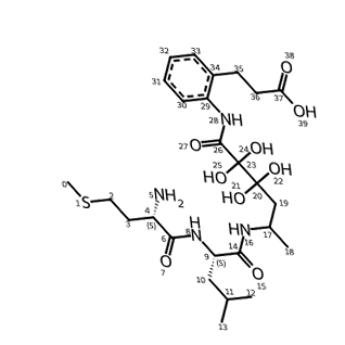 CSCC[C@H](N)C(=O)N[C@@H](CC(C)C)C(=O)NC(C)CC(O)(O)C(O)(O)C(=O)Nc1ccccc1CCC(=O)O